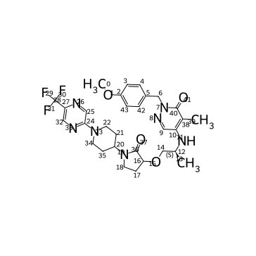 COc1ccc(Cn2ncc(N[C@@H](C)COC3CCN(C4CCN(c5cnc(C(F)(F)F)cn5)CC4)C3=O)c(C)c2=O)cc1